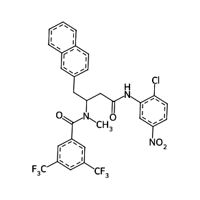 CN(C(=O)c1cc(C(F)(F)F)cc(C(F)(F)F)c1)C(CC(=O)Nc1cc([N+](=O)[O-])ccc1Cl)Cc1ccc2ccccc2c1